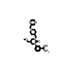 COCC1CN(CC2CCN(Cc3cnccn3)CC2)C(=O)N(c2cccc(C(=N)N)c2)C1